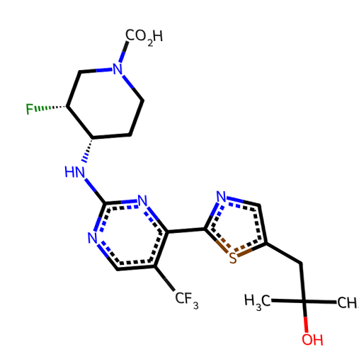 CC(C)(O)Cc1cnc(-c2nc(N[C@H]3CCN(C(=O)O)C[C@H]3F)ncc2C(F)(F)F)s1